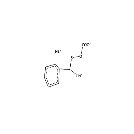 CCCC(SOC(=O)[O-])c1ccccc1.[Na+]